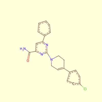 NC(=O)c1cc(-c2ccccc2)nc(N2CC=C(c3ccc(Cl)cc3)CC2)n1